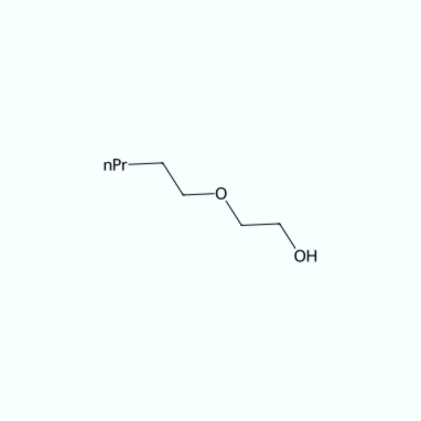 CCCCCOCCO